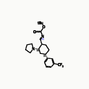 CC(C)(C)OC(=O)/N=C/C1CC[C@H](c2cccc(C(F)(F)F)c2)C[C@@H]1N1CCCC1